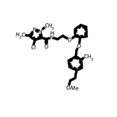 COCCc1ccc(COc2ccccc2OCCNC(=O)c2c(Cl)c(C)nn2C)c(C)c1